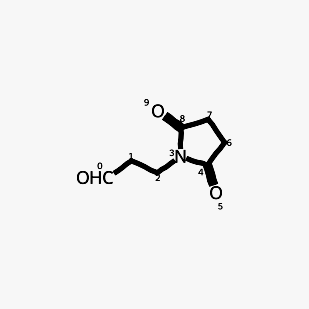 O=CCCN1C(=O)CCC1=O